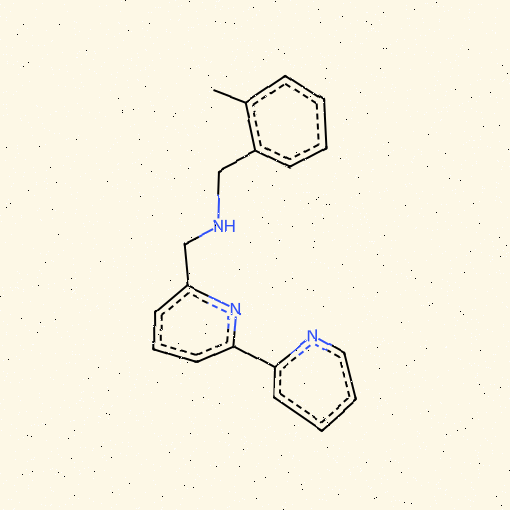 Cc1ccccc1CNCc1cccc(-c2ccccn2)n1